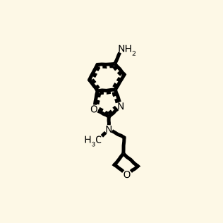 CN(CC1COC1)c1nc2cc(N)ccc2o1